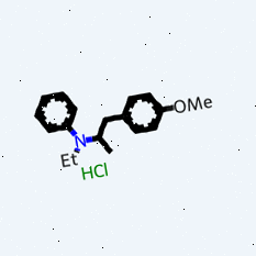 CCN(c1ccccc1)C(C)Cc1ccc(OC)cc1.Cl